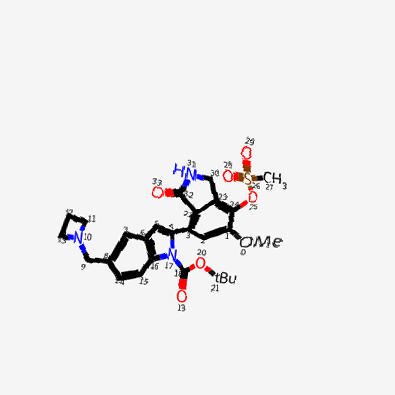 COc1cc(-c2cc3cc(CN4CCC4)ccc3n2C(=O)OC(C)(C)C)c2c(c1OS(C)(=O)=O)CNC2=O